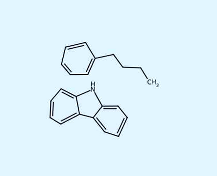 CCCCc1ccccc1.c1ccc2c(c1)[nH]c1ccccc12